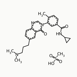 CS(=O)(=O)O.Cc1ccc(C(=O)NC2CC2)cc1-n1cnc2ccc(CCCN(C)C)cc2c1=O